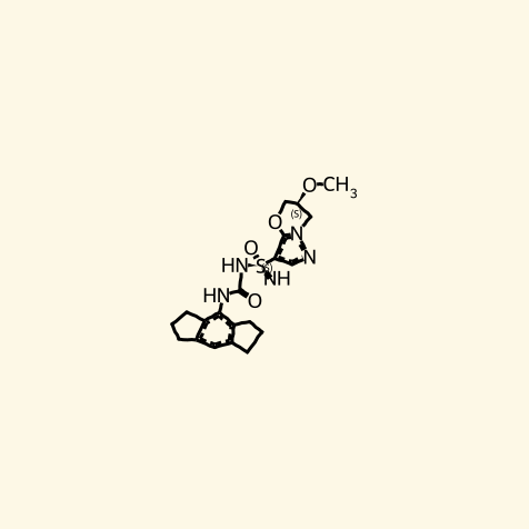 CO[C@@H]1COc2c([S@](=N)(=O)NC(=O)Nc3c4c(cc5c3CCC5)CCC4)cnn2C1